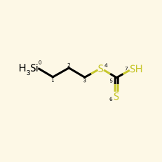 [SiH3]CCCSC(=S)S